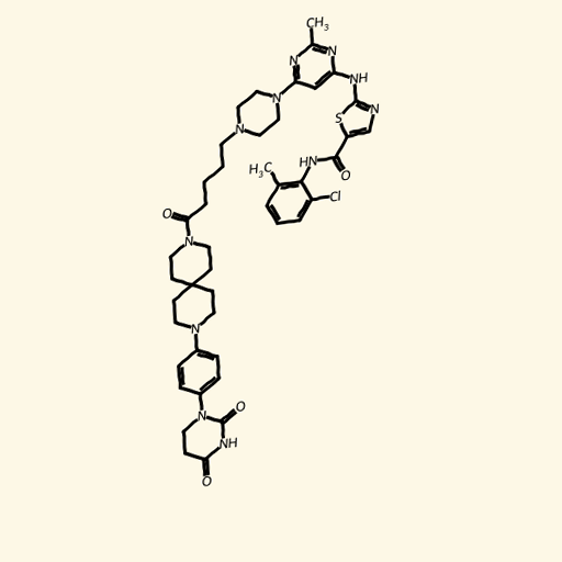 Cc1nc(Nc2ncc(C(=O)Nc3c(C)cccc3Cl)s2)cc(N2CCN(CCCCC(=O)N3CCC4(CC3)CCN(c3ccc(N5CCC(=O)NC5=O)cc3)CC4)CC2)n1